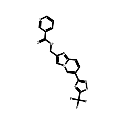 O=C(NCc1cn2cc(-c3noc(C(F)(F)F)n3)ccc2n1)c1cccnc1